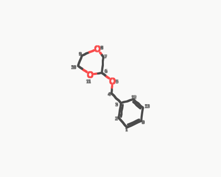 c1ccc(COC2COCCO2)cc1